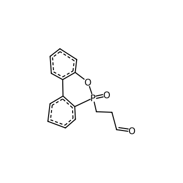 O=CCCP1(=O)Oc2ccccc2-c2ccccc21